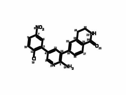 Nc1ncc(-c2cc([N+](=O)[O-])ccc2Cl)cc1-c1ccc2c(c1)CCNC2=O